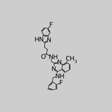 Cc1cccc2c(NCc3ccccc3F)nc(CNC(=O)CCc3nc4cc(F)ccc4[nH]3)nc12